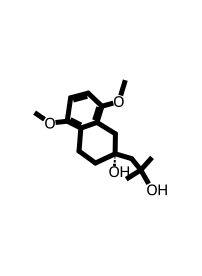 COc1ccc(OC)c2c1CC[C@](O)(CC(C)(C)O)C2